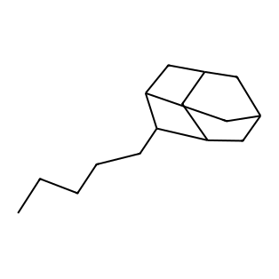 CCCCCC1C2CC3CC(C2)CC1C3